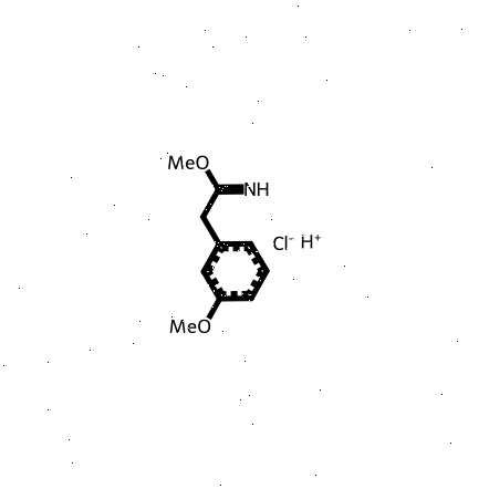 COC(=N)Cc1cccc(OC)c1.[Cl-].[H+]